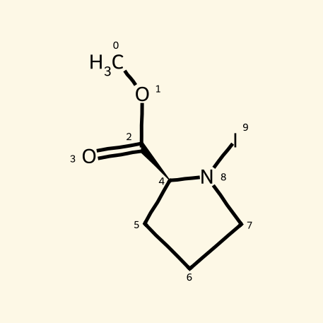 COC(=O)[C@@H]1CCCN1I